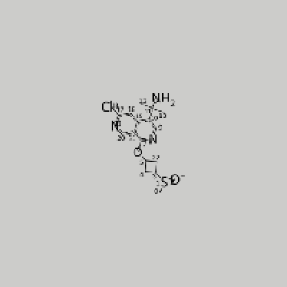 C[S+]([O-])C1CC(Oc2ncc(C(C)(C)N)c3cc(Cl)ncc23)C1